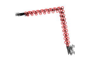 [Mg+2].[Mg+2].[Mg+2].[Mg+2].[Mg+2].[Ni+2].[Ni+2].[Ni+2].[Ni+2].[Ni+2].[O]=[Nb](=[O])[O-].[O]=[Nb](=[O])[O-].[O]=[Nb](=[O])[O-].[O]=[Nb](=[O])[O-].[O]=[Nb](=[O])[O-].[O]=[Nb](=[O])[O-].[O]=[Ti]([O-])[O-].[O]=[Ti]([O-])[O-].[O]=[Ti]([O-])[O-].[O]=[Ti]([O-])[O-].[O]=[Ti]([O-])[O-].[O]=[Ti]([O-])[O-].[O]=[Zr]([O-])[O-].[O]=[Zr]([O-])[O-].[O]=[Zr]([O-])[O-].[O]=[Zr]([O-])[O-].[O]=[Zr]([O-])[O-].[O]=[Zr]([O-])[O-].[Pb+2].[Pb+2].[Pb+2].[Pb+2].[Pb+2]